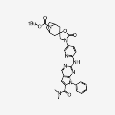 CN(C)C(=O)c1cc2cnc(Nc3ccc(N4CC5(CC6CCC(C5)N6C(=O)OC(C)(C)C)OC4=O)cn3)nc2n1-c1ccccc1